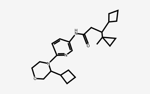 CC1(C(CC(=O)Nc2ccc(N3CCOCC3C3CCC3)nc2)C2CCC2)CC1